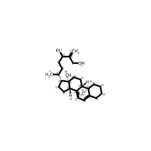 C=C(CO)C(CC)CCC(C)[C@H]1CC[C@H]2C3=CC=C4CCCC[C@]4(C)[C@H]3CC[C@]12C